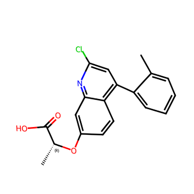 Cc1ccccc1-c1cc(Cl)nc2cc(O[C@H](C)C(=O)O)ccc12